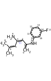 C=C(/C=C(/N)C=C(C)C)Nc1cccc(F)c1